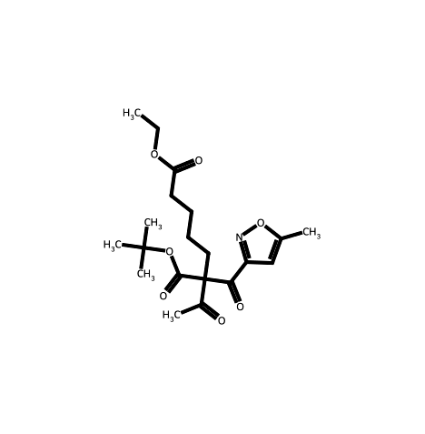 CCOC(=O)CCCCC(C(C)=O)(C(=O)OC(C)(C)C)C(=O)c1cc(C)on1